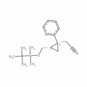 CC(C)(C)[Si](C)(C)OC[C@H]1C[C@]1(CC#N)c1ccccn1